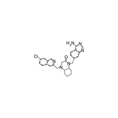 Nc1ncnc2cc(CN3C(=O)CN(Cc4cc5ccc(Cl)cc5cn4)C4CCCCC43)ccc12